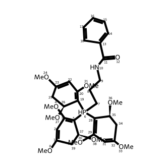 COC1=CC(OC)=C([PH](CCCNC(=O)c2ccccc2)(C2=C(OC)C=C(OC)C[C@@H]2OC)C2=C(OC)C=C(OC)C[C@@H]2OC)[C@@H](OC)C1